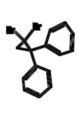 BrC1(Br)CC1(c1ccccc1)c1ccccc1